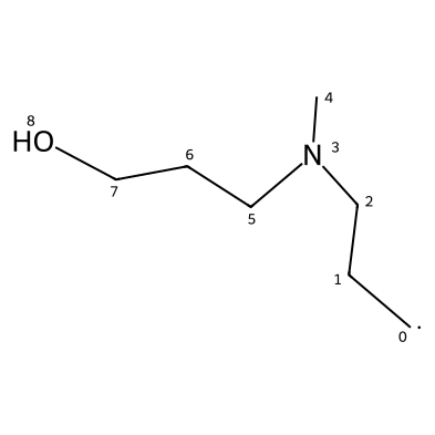 [CH2]CCN(C)CCCO